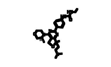 CCNC(=O)Nc1ccc(-c2nc(N3CCOC[C@@H]3C)c3c(n2)C(C)(CCN(C)C)OC3)cc1